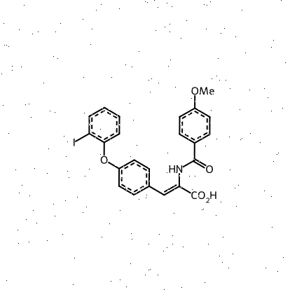 COc1ccc(C(=O)N/C(=C\c2ccc(Oc3ccccc3I)cc2)C(=O)O)cc1